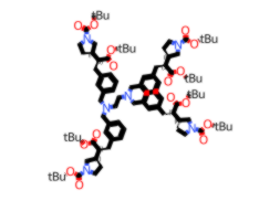 CC(C)(C)OC(=O)[C@@H](Cc1cccc(CN(CCN(Cc2cccc(C[C@H](C(=O)OC(C)(C)C)[C@H]3CCN(C(=O)OC(C)(C)C)C3)c2)Cc2cccc(C[C@H](C(=O)OC(C)(C)C)[C@H]3CCN(C(=O)OC(C)(C)C)C3)c2)Cc2cccc(C[C@H](C(=O)OC(C)(C)C)[C@H]3CCN(C(=O)OC(C)(C)C)C3)c2)c1)[C@H]1CCN(C(=O)OC(C)(C)C)C1